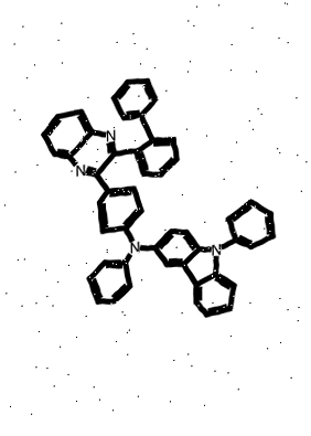 c1ccc(-c2ccccc2-c2nc3ccccc3nc2-c2ccc(N(c3ccccc3)c3ccc4c(c3)c3ccccc3n4-c3ccccc3)cc2)cc1